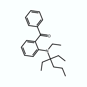 CCCC(CC)(CC)N(CC)c1ccccc1C(=O)c1ccccc1